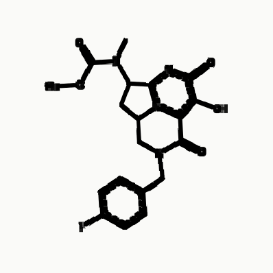 CN(C(=O)OC(C)(C)C)C1CC2CN(Cc3ccc(F)cc3)C(=O)c3c(O)c(=O)nc1n32